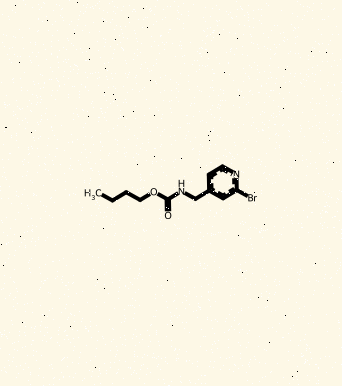 CCCCOC(=O)NCc1ccnc(Br)c1